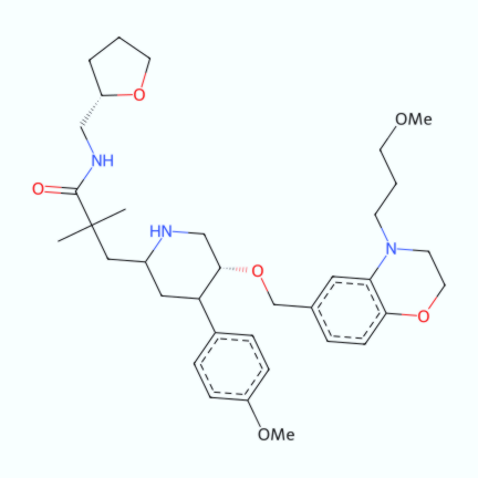 COCCCN1CCOc2ccc(CO[C@H]3CNC(CC(C)(C)C(=O)NC[C@@H]4CCCO4)CC3c3ccc(OC)cc3)cc21